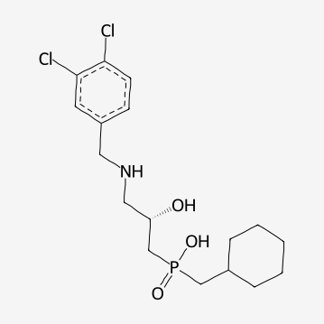 O=P(O)(CC1CCCCC1)C[C@@H](O)CNCc1ccc(Cl)c(Cl)c1